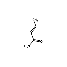 C/C=C/C(N)=O